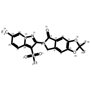 CCS(=O)(=O)c1c(N2Cc3cc4c(cc3C2=O)OC(F)(F)O4)nn2cc(C(F)(F)F)ccc12